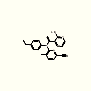 C=C(c1cccnc1N)N(c1ccc(CC)cc1)c1nc(C#N)ccc1C